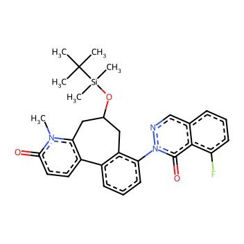 Cn1c2c(ccc1=O)-c1cccc(-n3ncc4cccc(F)c4c3=O)c1CC(O[Si](C)(C)C(C)(C)C)C2